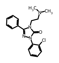 CN(C)CCn1c(-c2ccccc2)nn(-c2ccccc2Cl)c1=O